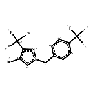 FC(F)(F)c1ccc(Cn2cc(Br)c(C(F)(F)F)n2)cc1